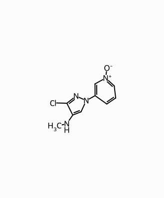 CNc1cn(-c2ccc[n+]([O-])c2)nc1Cl